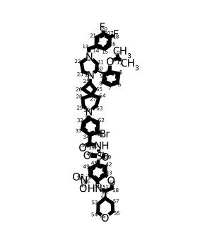 CC(C)Oc1ccccc1[C@@H]1CN(Cc2ccc(F)c(F)c2)CCN1C1CC2(CCN(c3ccc(C(=O)NS(=O)(=O)c4cc5c(c([N+](=O)[O-])c4)N[C@H](C4CCOCC4)CO5)c(Br)c3)CC2)C1